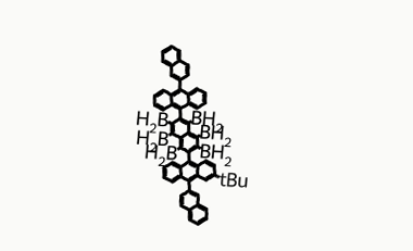 Bc1c(-c2c3ccccc3c(-c3ccc4ccccc4c3)c3cc(C(C)(C)C)ccc23)c(B)c2c(B)c(B)c(-c3c4ccccc4c(-c4ccc5ccccc5c4)c4ccccc34)c(B)c2c1B